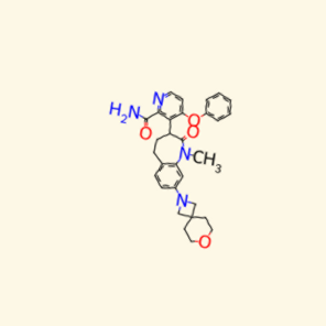 CN1C(=O)C(c2c(Oc3ccccc3)ccnc2C(N)=O)CCc2ccc(N3CC4(CCOCC4)C3)cc21